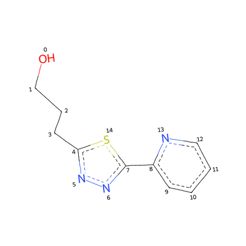 OCCCc1nnc(-c2ccccn2)s1